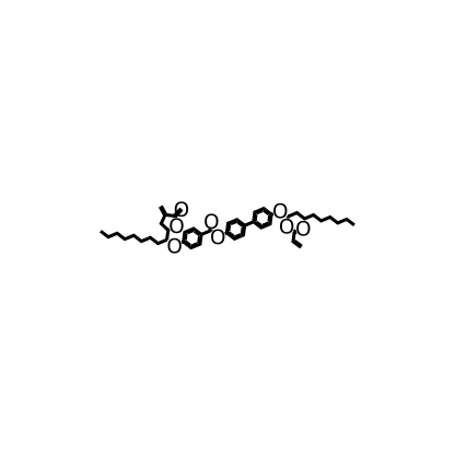 C=CC(=O)OC(CCCCCCCC)Oc1ccc(-c2ccc(OC(=O)c3ccc(OC(CCCCCCCC)C4CC(=C)C(=O)O4)cc3)cc2)cc1